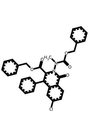 CN(C(=O)OCc1ccccc1)n1c(C(=O)OCc2ccccc2)c(-c2ccccc2)c2cc(Cl)ccc2c1=O